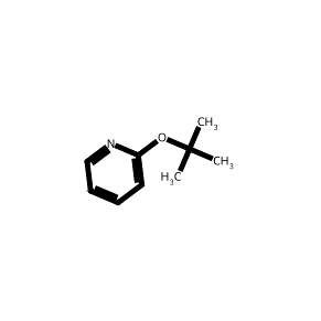 CC(C)(C)Oc1cc[c]cn1